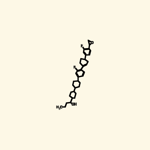 CCCC(O)C1CCC(C2CCC(c3ccc(C4=CCC(c5ccc(C6CO6)c(F)c5)CC4)c(F)c3)CC2)CC1